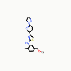 CCOCc1ccc(C)c(Nc2nc(-c3ccc(-n4cccn4)nc3)cs2)c1